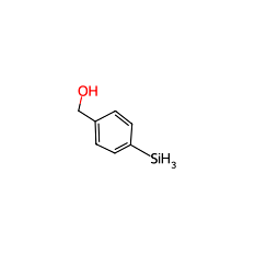 OCc1ccc([SiH3])cc1